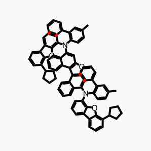 Cc1ccc(N(c2cc3oc4cc(N(c5ccc(C)cc5-c5ccccc5)c5cccc6c5oc5c(C7CCCC7)cccc56)c5ccccc5c4c3c3ccccc23)c2cccc3c2oc2c(C4CCCC4)cccc23)c(-c2ccccc2)c1